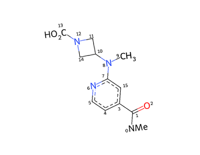 CNC(=O)c1ccnc(N(C)C2CN(C(=O)O)C2)c1